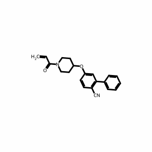 C=CC(=O)N1CCC(Oc2ccc(C#N)c(-c3ccccc3)c2)CC1